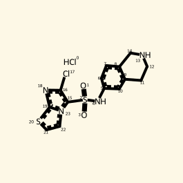 Cl.O=S(=O)(Nc1ccc2c(c1)CCNC2)c1c(Cl)nc2sccn12